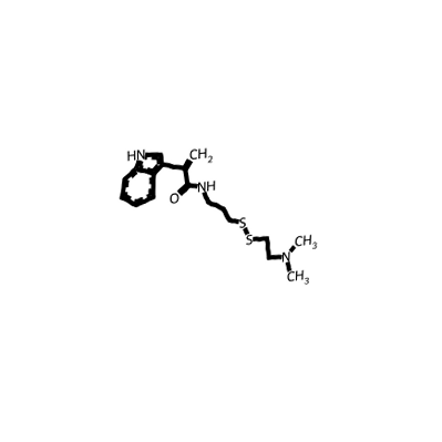 C=C(C(=O)NCCCSSCCN(C)C)c1c[nH]c2ccccc12